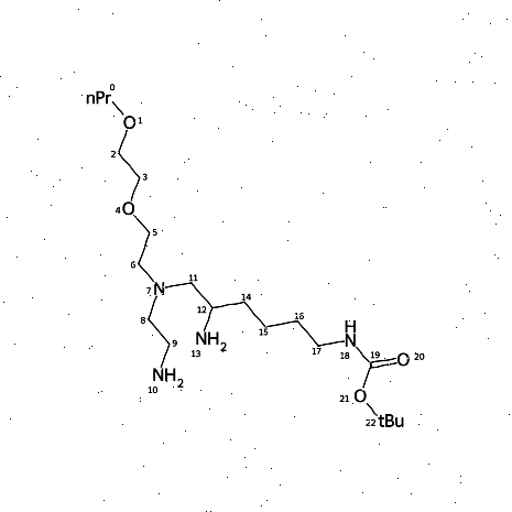 CCCOCCOCCN(CCN)CC(N)CCCCNC(=O)OC(C)(C)C